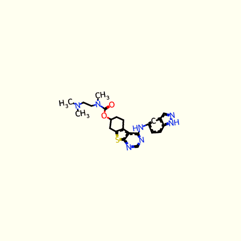 CN(C)CCN(C)C(=O)OC1CCc2c(sc3ncnc(Nc4ccc5[nH]ncc5c4)c23)C1